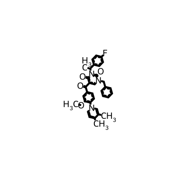 COc1cc(C(=O)c2cn(Cc3ccccc3)c(=O)n(C(C)c3ccc(F)cc3)c2=O)ccc1N1C=C=C(C)C(C)=C1